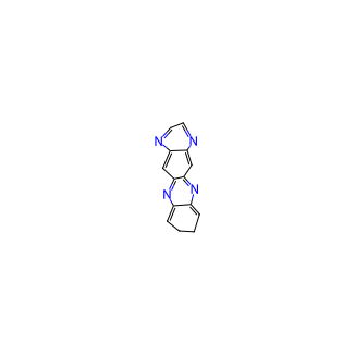 C1=c2nc3cc4nccnc4cc3nc2=CCC1